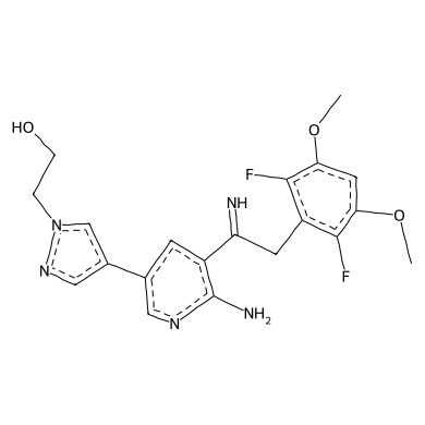 COc1cc(OC)c(F)c(CC(=N)c2cc(-c3cnn(CCO)c3)cnc2N)c1F